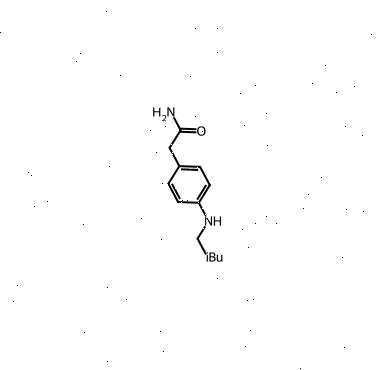 CCC(C)CNc1ccc(CC(N)=O)cc1